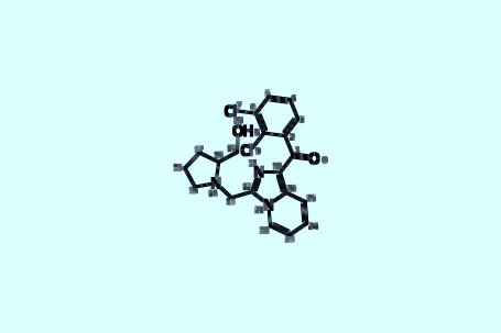 O=C(c1cccc(Cl)c1Cl)c1nc(CN2CCCC2CO)n2ccccc12